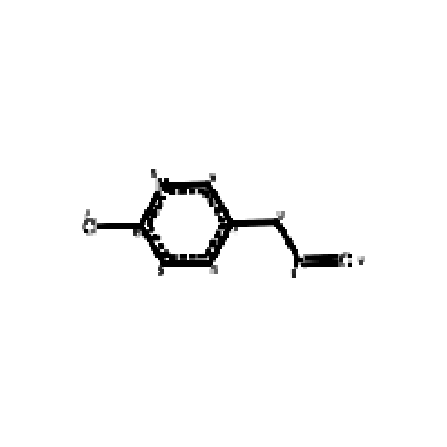 O=NCc1ccc(Cl)nc1